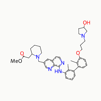 COC(=O)CC1CCCCN1Cc1cnc2c(Nc3cccc(-c4cccc(OCCCN5CCC(O)C5)c4C)c3C)nccc2c1